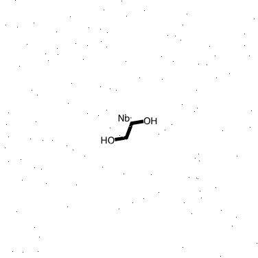 OCCO.[Nb]